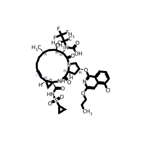 CCCOc1cc2c(Cl)cccc2c(O[C@@H]2C[C@H]3C(=O)N[C@]4(C(=O)NS(=O)(=O)C5CC5)C[C@H]4/C=C\CC[C@H](C)C[C@@H](C)[C@H](N(C(=O)O)C(C)(C)C(F)(F)F)C(=O)N3C2)n1